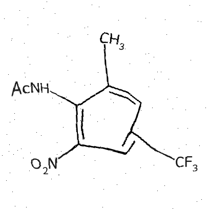 CC(=O)Nc1c(C)cc(C(F)(F)F)cc1[N+](=O)[O-]